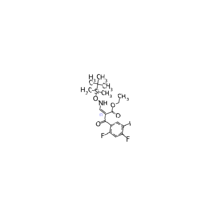 CCOC(=O)/C(=C\NO[Si](C)(C)C(C)(C)C)C(=O)c1cc(I)c(F)cc1F